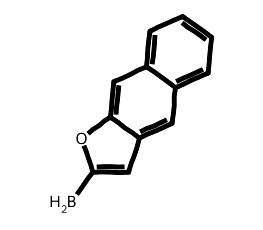 Bc1cc2cc3ccccc3cc2o1